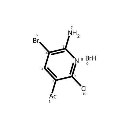 Br.CC(=O)c1cc(Br)c(N)nc1Cl